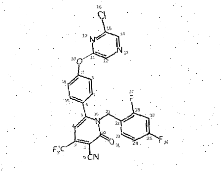 N#Cc1c(C(F)(F)F)cc(-c2ccc(Oc3cncc(Cl)n3)cc2)n(Cc2ccc(F)cc2F)c1=O